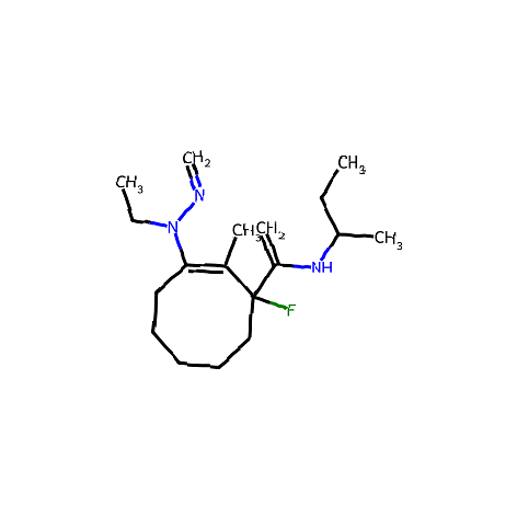 C=NN(CC)/C1=C(\C)C(F)(C(=C)NC(C)CC)CCCCC1